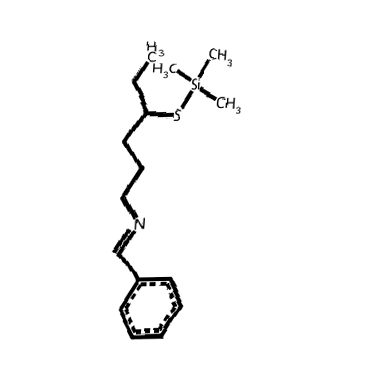 CCC(CCC/N=C/c1ccccc1)S[Si](C)(C)C